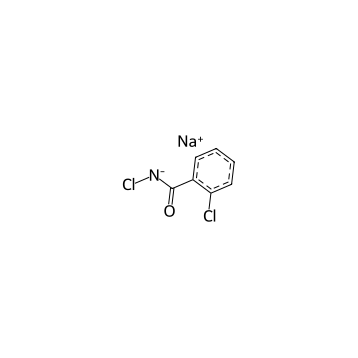 O=C([N-]Cl)c1ccccc1Cl.[Na+]